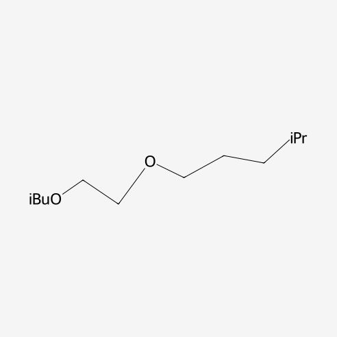 CC(C)CCCOCCOCC(C)C